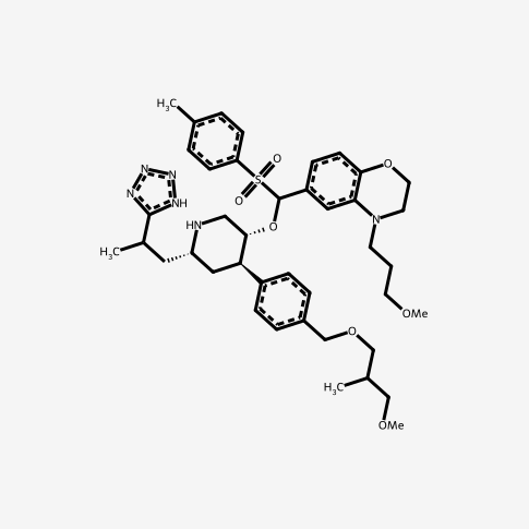 COCCCN1CCOc2ccc(C(O[C@H]3CN[C@@H](CC(C)c4nnn[nH]4)C[C@@H]3c3ccc(COCC(C)COC)cc3)S(=O)(=O)c3ccc(C)cc3)cc21